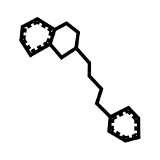 c1ccc(CCCCC2CCc3ccccc3C2)cc1